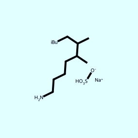 CCC(C)CC(C)C(C)CCCCN.O=S(=O)([O-])O.[Na+]